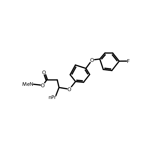 CCCC(CC(=O)ONC)Oc1ccc(Oc2ccc(F)cc2)cc1